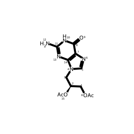 CC(=O)OC[C@H](Cn1cnc2c(=O)[nH]c(N)nc21)OC(C)=O